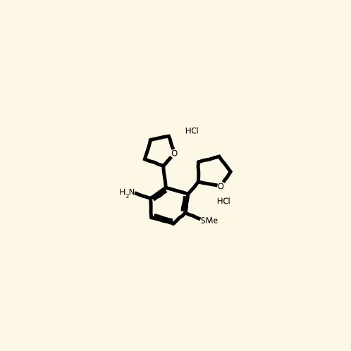 CSc1ccc(N)c(C2CCCO2)c1C1CCCO1.Cl.Cl